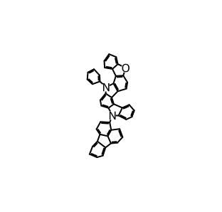 c1ccc(-n2c3ccc4c(c5ccccc5n4-c4ccc5c6c(cccc46)-c4ccccc4-5)c3c3ccc4oc5ccccc5c4c32)cc1